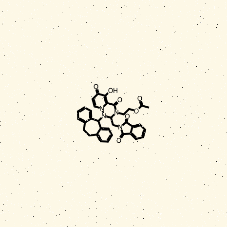 CC(=O)OCCN1C(=O)c2c(O)c(=O)ccn2N(C2c3ccccc3CCc3ccccc32)C1CN1C(=O)c2ccccc2C1=O